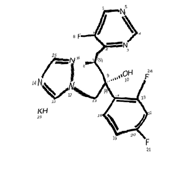 C[C@@H](c1ncncc1F)[C@](O)(Cn1cncn1)c1ccc(F)cc1F.[KH]